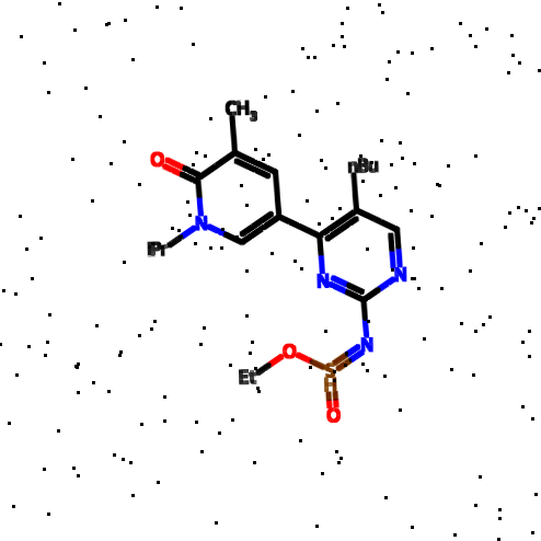 CCCCc1cnc(N=[SH](=O)OCC)nc1-c1cc(C)c(=O)n(C(C)C)c1